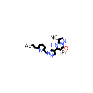 CC(=O)C=Cc1cccc(Cn2cc(-c3[nH]c4c(C#N)cnn4c(=O)c3C(C)C)cn2)n1